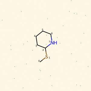 CSC1CCCCN1